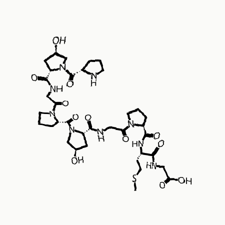 CSCC[C@H](NC(=O)[C@@H]1CCCN1C(=O)CNC(=O)[C@@H]1C[C@@H](O)CN1C(=O)[C@@H]1CCCN1C(=O)CNC(=O)[C@@H]1C[C@@H](O)CN1C(=O)[C@@H]1CCCN1)C(=O)NCC(=O)O